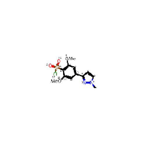 COc1cc(-c2ccn(C)n2)cc(OC)c1S(=O)(=O)Cl